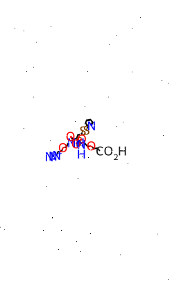 [N-]=[N+]=NCCOCCNC(=O)C(CCSSc1ccccn1)S(=O)(=O)NCCOCCC(=O)O